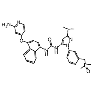 CC(C)c1cc(NC(=O)Nc2ccc(Oc3ccnc(N)c3)c3ccccc23)n(-c2cccc(CP(C)(C)=O)c2)n1